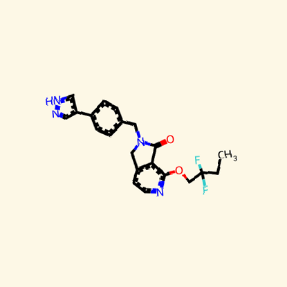 CCC(F)(F)COc1nccc2c1C(=O)N(Cc1ccc(-c3cn[nH]c3)cc1)C2